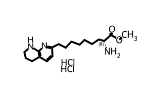 COC(=O)[C@H](N)CCCCCCCc1ccc2c(n1)NCCC2.Cl.Cl